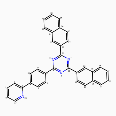 c1ccc(-c2ccc(-c3nc(-c4ccc5ccccc5c4)nc(-c4ccc5ccccc5c4)n3)cc2)nc1